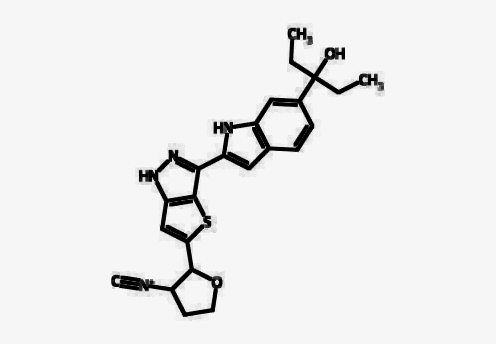 [C-]#[N+]C1CCOC1c1cc2[nH]nc(-c3cc4ccc(C(O)(CC)CC)cc4[nH]3)c2s1